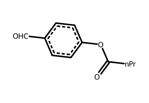 [CH2]CCC(=O)Oc1ccc(C=O)cc1